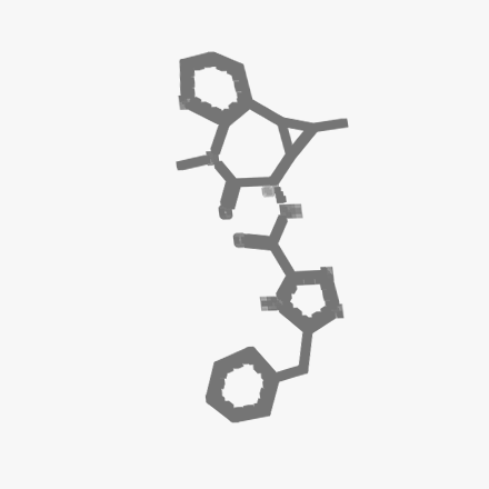 CC1C2c3cccnc3N(C)C(=O)[C@@H](NC(=O)c3nnc(Cc4ccccc4)[nH]3)C12